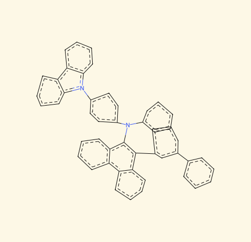 c1ccc(-c2cccc(-c3c(N(c4ccccc4)c4ccc(-n5c6ccccc6c6ccccc65)cc4)c4ccccc4c4ccccc34)c2)cc1